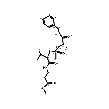 COC(=O)CCNC(=O)[C@H](OP(C)(=O)N[C@@H](C)C(=O)OCc1ccccc1)C(C)C